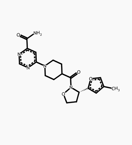 Cc1coc([C@@H]2CCON2C(=O)C2CCN(c3cc(C(N)=O)ncn3)CC2)c1